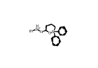 CC[SiH2]OC1CCC[Si](c2ccccc2)(c2ccccc2)O1